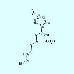 CCSNCCCCC(NC(=O)O)c1ncc(C(F)(F)F)[nH]1